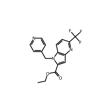 CCOC(=O)c1cc2nc(C(F)(F)F)ccc2n1Cc1ccncc1